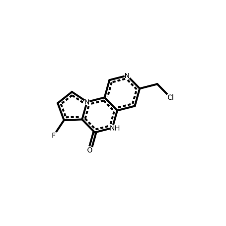 O=c1[nH]c2cc(CCl)ncc2n2ccc(F)c12